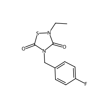 CCn1sc(=O)n(Cc2ccc(F)cc2)c1=O